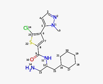 Cn1nccc1-c1cc(C(=O)NC(CN)CC2CCCCC2)sc1Cl